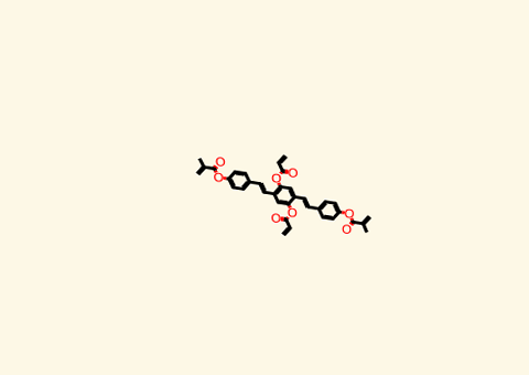 C=CC(=O)Oc1cc(/C=C/c2ccc(OC(=O)C(=C)C)cc2)c(OC(=O)C=C)cc1/C=C/c1ccc(OC(=O)C(=C)C)cc1